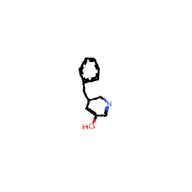 OC1=CC(Cc2ccccc2)CN=C1